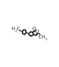 C=Cc1ccc(-c2ccc3cc(CC)oc(=O)c3c2)cc1